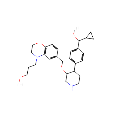 COCCCN1CCOc2ccc(COC3CNC[C@@H](O)C3c3ccc(C(OC)C4CC4)cc3)cc21